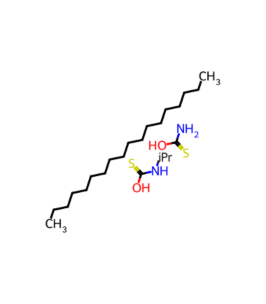 CC(C)NC(O)=S.CCCCCCCCCCCCCCCCCC.NC(O)=S